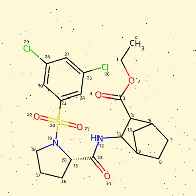 CCOC(=O)C1C2CCC(C2)C1NC(=O)[C@@H]1CCCN1S(=O)(=O)c1cc(Cl)cc(Cl)c1